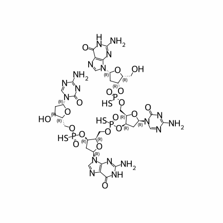 Nc1ncn([C@H]2C[C@@H](O)[C@@H](COP(=O)(S)O[C@@H]3C[C@H](n4cnc5c(=O)[nH]c(N)nc54)O[C@@H]3COP(=O)(S)O[C@@H]3C[C@H](n4cnc(N)nc4=O)O[C@@H]3COP(=O)(S)O[C@@H]3C[C@H](n4cnc5c(=O)[nH]c(N)nc54)O[C@@H]3CO)O2)c(=O)n1